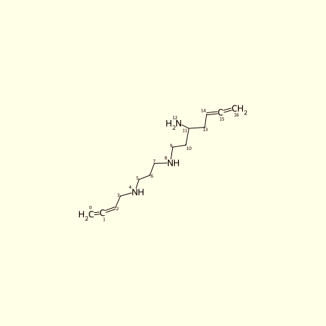 C=C=CCNCCCNCCC(N)CC=C=C